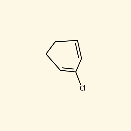 ClC1=CCCC=C1